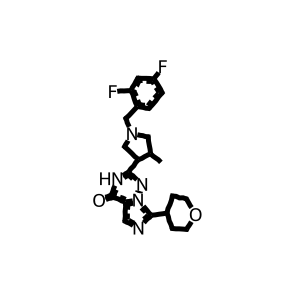 CC1CN(Cc2ccc(F)cc2F)CC1c1nn2c(C3CCOCC3)ncc2c(=O)[nH]1